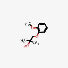 COc1ccc[c]c1OCC(C)(C)O